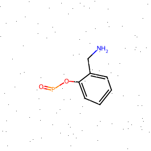 NCc1ccccc1OP=O